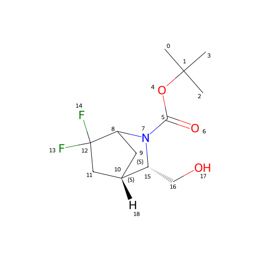 CC(C)(C)OC(=O)N1C2C[C@@H](CC2(F)F)[C@H]1CO